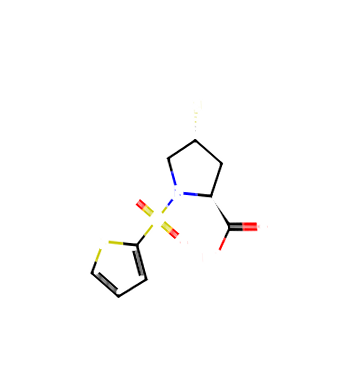 O=C(O)[C@@H]1C[C@@H](S)CN1S(=O)(=O)c1cccs1